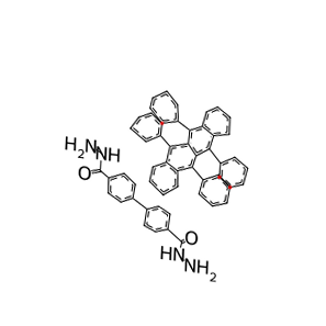 NNC(=O)c1ccc(-c2ccc(C(=O)NN)cc2)cc1.c1ccc(-c2c3ccccc3c(-c3ccccc3)c3c(-c4ccccc4)c4ccccc4c(-c4ccccc4)c23)cc1